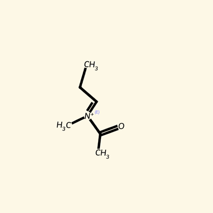 CC/C=[N+](\C)C(C)=O